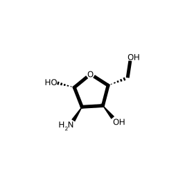 N[C@@H]1[C@H](O)[C@@H](CO)O[C@H]1O